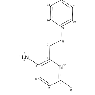 Cc1ccc(N)c(CCc2ccccc2)n1